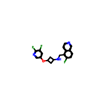 Fc1cc(OC2CC(NCc3c(F)ccc4cnccc34)C2)cnc1F